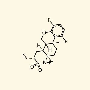 CC[C@@H]1C[C@@H]2[C@@H](CC[C@@]3(C)c4c(F)ccc(F)c4OC[C@@H]23)NS1(=O)=O